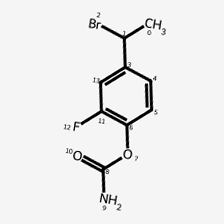 CC(Br)c1ccc(OC(N)=O)c(F)c1